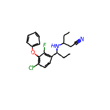 CCC(CC#N)NC(CC)c1ccc(Cl)c(Oc2ccccc2)c1F